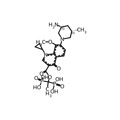 COc1c(N2C[C@@H](C)C[C@H](N)C2)ccc2c(=O)c(C(=O)OC(C)(P(=O)(O)O)P(=O)(O)O)cn(C3CC3)c12